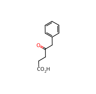 O=C(O)CCC(=O)Cc1ccccc1